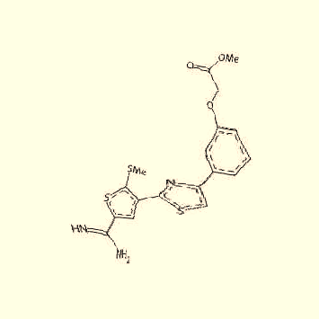 COC(=O)COc1cccc(-c2csc(-c3cc(C(=N)N)sc3SC)n2)c1